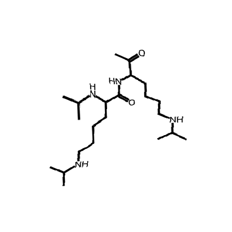 CC(=O)C(CCCCNC(C)C)NC(=O)C(CCCCNC(C)C)NC(C)C